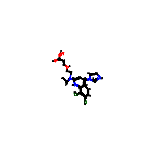 CC(C)N(CCOCCC(=O)O)c1cc(-n2ccnc2)c2ccc(Cl)c(Cl)c2n1